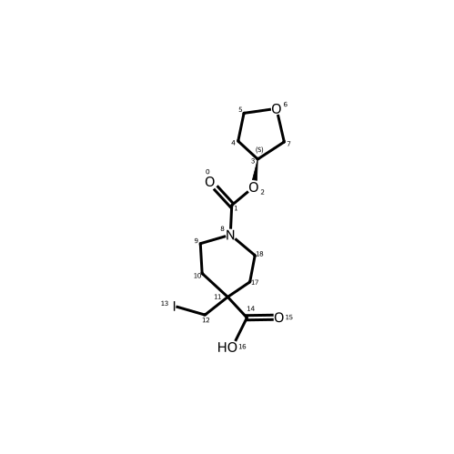 O=C(O[C@H]1CCOC1)N1CCC(CI)(C(=O)O)CC1